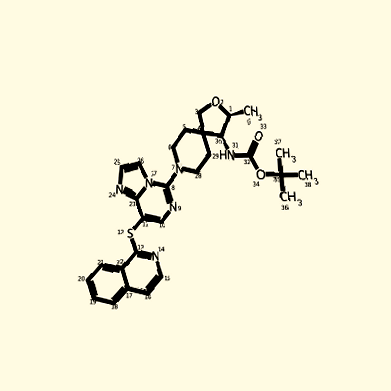 C[C@@H]1OCC2(CCN(c3ncc(Sc4nccc5ccccc45)c4nccn34)CC2)[C@@H]1NC(=O)OC(C)(C)C